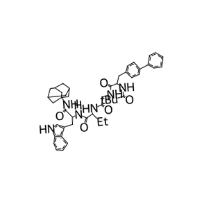 CCC(NC(=O)CNC(=O)C(Cc1ccc(-c2ccccc2)cc1)NC(=O)C(C)(C)C)C(=O)NC(Cc1c[nH]c2ccccc12)C(=O)NC12CC3CC(CC(C3)C1)C2